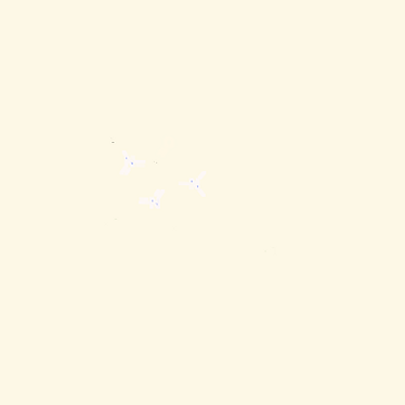 CCC(C)n1cc(Cl)nc(N2CCc3cc(Cl)cc(Cl)c32)c1=O